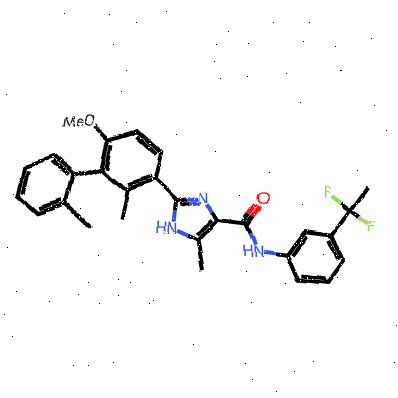 COc1ccc(-c2nc(C(=O)Nc3cccc(C(C)(F)F)c3)c(C)[nH]2)c(C)c1-c1ccccc1C